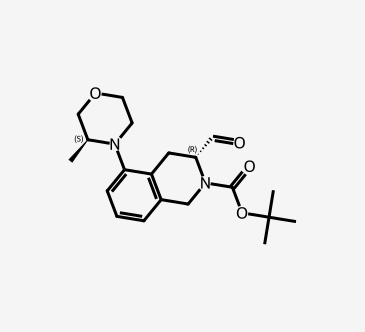 C[C@H]1COCCN1c1cccc2c1C[C@H](C=O)N(C(=O)OC(C)(C)C)C2